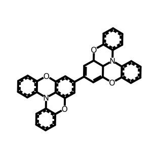 C1=C(c2cc3c4c(c2)Oc2ccccc2N4c2ccccc2O3)C=C2Oc3ccccc3N3c4ccccc4OC1C23